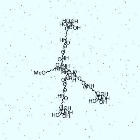 COCCCCCCNC(=O)C[C@H](CCC(=O)NCCOCCOCC(=O)NCCCCCO[C@@H]1OC(CO)[C@@H](O)[C@H](O)C1O)NC(=O)C[C@H](CCC(=O)NCCOCCOCC(=O)NCCCCCO[C@@H]1OC(CO)[C@@H](O)[C@H](O)C1O)NC(=O)CNC(=O)COCCOCCNC(=O)CCCCO[C@@H]1OC(CO)[C@@H](O)[C@H](O)C1O